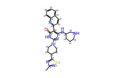 Cc1nsc(C2CCN(c3nc(NC4CCCNC4)c(-c4ccc5ccccc5n4)c(=O)[nH]3)CC2)n1